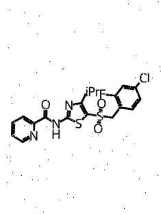 CC(C)c1nc(NC(=O)c2ccccn2)sc1S(=O)(=O)Cc1ccc(Cl)cc1F